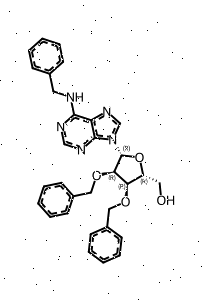 OC[C@H]1O[C@@H](n2cnc3c(NCc4ccccc4)ncnc32)[C@H](OCc2ccccc2)[C@@H]1OCc1ccccc1